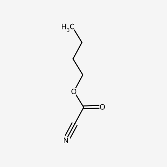 CCCCOC(=O)C#N